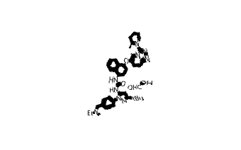 CCN(C)Cc1ccc(-n2nc(C(C)(C)C)cc2NC(=O)N[C@H]2CC[C@@H](Oc3ccc4nnc(N5CCCC[C@@H]5C)n4c3)c3ccccc32)cc1.O=CO